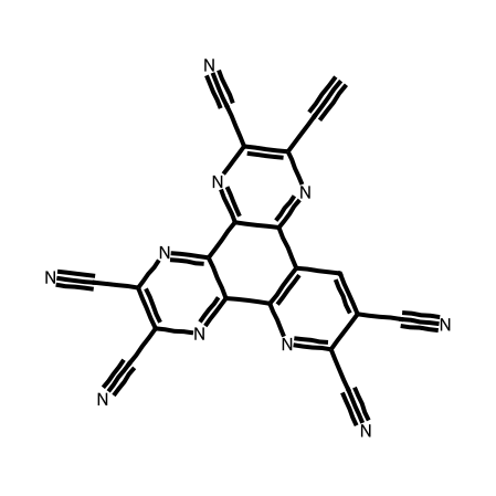 C#Cc1nc2c3cc(C#N)c(C#N)nc3c3nc(C#N)c(C#N)nc3c2nc1C#N